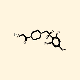 CC(C)c1cc(C(C)C)c(S(=O)(=O)CN2CCN(C(=O)CN)CC2)c(C(C)C)c1